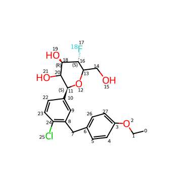 CCOc1ccc(Cc2cc([C@@H]3OC(CO)[C@@H]([18F])[C@H](O)C3O)ccc2Cl)cc1